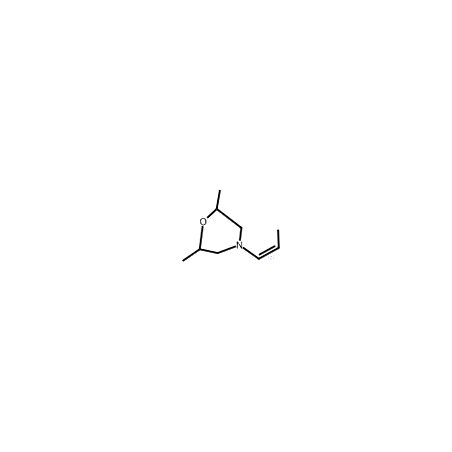 C/C=C\N1CC(C)OC(C)C1